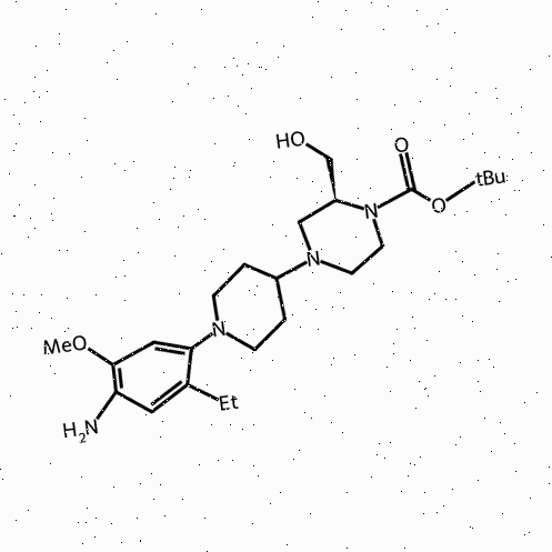 CCc1cc(N)c(OC)cc1N1CCC(N2CCN(C(=O)OC(C)(C)C)[C@H](CO)C2)CC1